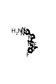 Cc1nn([C@H](c2ccc(F)cc2)C(C)(F)F)cc1-c1cccc(-c2ccn3nc(N)nc3c2)n1